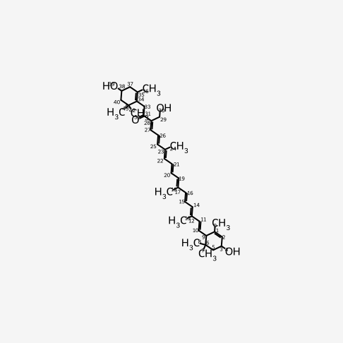 CC1=CC(O)CC(C)(C)C1/C=C/C(C)=C/C=C/C(C)=C/C=C/C=C(C)/C=C/C=C(\CO)C(=O)CC1=C(C)CC(O)CC1(C)C